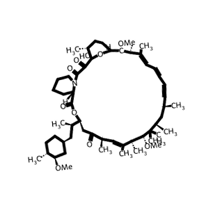 CO[C@H]1C[C@@H]2CC[C@@H](C)[C@@](O)(O2)C(=O)C(=O)N2CCCC[C@H]2C(=O)O[C@H]([C@H](C)C[C@@H]2CC[C@@H](C)[C@H](OC)C2)CC(=O)[C@H](C)/C=C(\C)[C@@H](C)[C@@H](OC)C(C)(C)[C@H](C)C[C@H](C)/C=C/C=C/C=C/1C